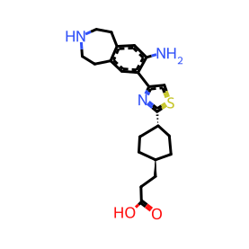 Nc1cc2c(cc1-c1csc([C@H]3CC[C@H](CCC(=O)O)CC3)n1)CCNCC2